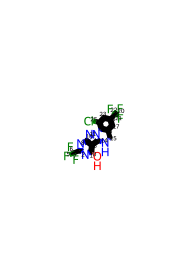 Oc1nc(C(F)(F)F)nc2nn3c(c12)NCc1cc(C(F)(F)F)cc(Cl)c1-3